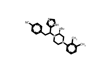 CCCC[C@H]1CN(c2cccc(C)c2C)CCN1C(Cc1ccc(C#N)cc1)c1cnc[nH]1